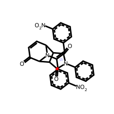 O=C1C=CC2C3C(=O)N(c4ccccc4)C(=O)C3C1N2/C(=C\c1cccc([N+](=O)[O-])c1)c1cccc([N+](=O)[O-])c1